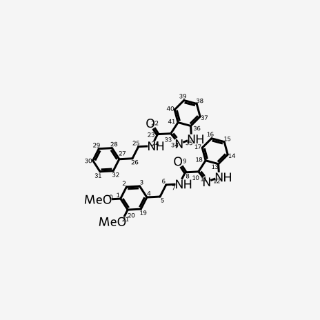 COc1ccc(CCNC(=O)c2n[nH]c3ccccc23)cc1OC.O=C(NCCc1ccccc1)c1n[nH]c2ccccc12